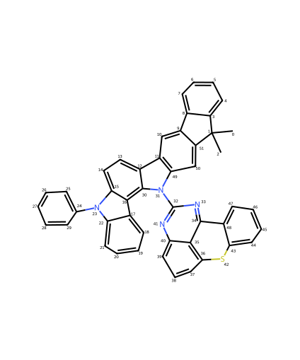 CC1(C)c2ccccc2-c2cc3c4ccc5c(c6ccccc6n5-c5ccccc5)c4n(-c4nc5c6c(cccc6n4)Sc4ccccc4-5)c3cc21